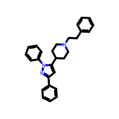 c1ccc(CCN2CCC(c3cc(-c4ccccc4)nn3-c3ccccc3)CC2)cc1